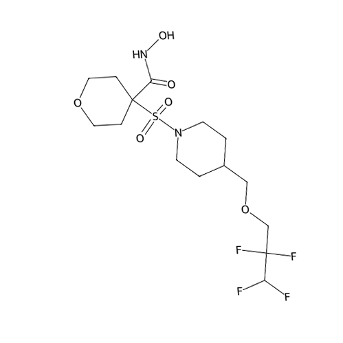 O=C(NO)C1(S(=O)(=O)N2CCC(COCC(F)(F)C(F)F)CC2)CCOCC1